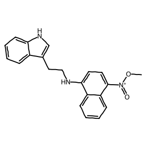 CO[N+](=O)c1ccc(NCCc2c[nH]c3ccccc23)c2ccccc12